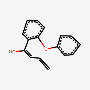 C=C/C=C(/O)c1ccccc1Oc1ccccc1